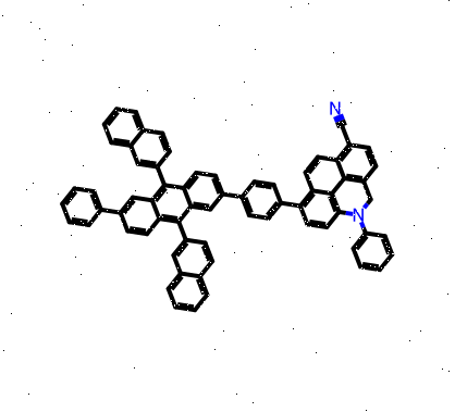 N#Cc1ccc2c3c1ccc1c(-c4ccc(-c5ccc6c(-c7ccc8ccccc8c7)c7cc(-c8ccccc8)ccc7c(-c7ccc8ccccc8c7)c6c5)cc4)ccc(c13)N(c1ccccc1)C2